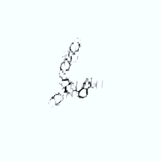 O=S(=O)(N1CCOCC1)N1CCN(Cc2cc3nc(-c4cccc5[nH]ncc45)nc(N4CCOCC4)c3s2)CC1